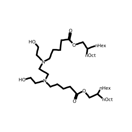 CCCCCCCCC(CCCCCC)COC(=O)CCCCN(CCO)CCN(CCO)CCCCC(=O)OCC(CCCCCC)CCCCCCCC